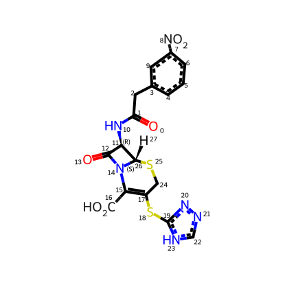 O=C(Cc1cccc([N+](=O)[O-])c1)N[C@@H]1C(=O)N2C(C(=O)O)=C(Sc3nnc[nH]3)CS[C@@H]12